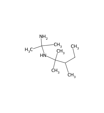 CCC(C)C(C)(C)NC(C)(C)N